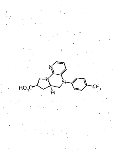 O=C(O)[C@@H]1C[C@@H]2CN(c3ccc(C(F)(F)F)cc3)c3cccnc3N2C1